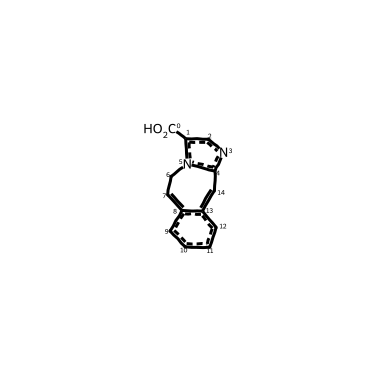 O=C(O)c1cnc2n1CC=c1ccccc1=C2